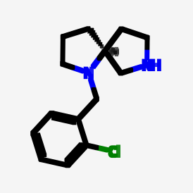 Clc1ccccc1CN1CCC[C@@]12CCNC2